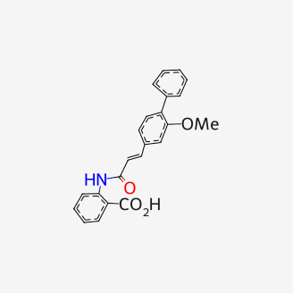 COc1cc(C=CC(=O)Nc2ccccc2C(=O)O)ccc1-c1ccccc1